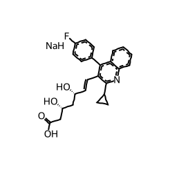 O=C(O)C[C@H](O)C[C@H](O)/C=C/c1c(C2CC2)nc2ccccc2c1-c1ccc(F)cc1.[NaH]